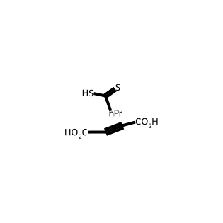 CCCC(=S)S.O=C(O)C#CC(=O)O